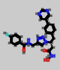 O=C(C[C@@H](Cc1ccc(-c2cncnc2)cc1)n1cc(CNC(=O)c2ccc(F)cc2)nn1)NO